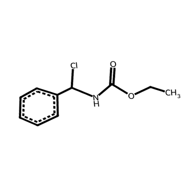 CCOC(=O)NC(Cl)c1ccccc1